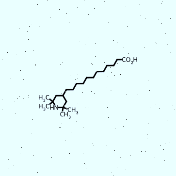 CC1(C)CC(CCCCCCCCCCCC(=O)O)CC(C)(C)N1